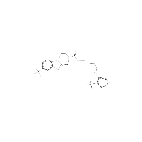 C[C@@H](COCCC(=O)N1CCN2c3ncc(C(F)(F)F)cc3C[C@H]2C1)Nc1cnncc1C(F)(F)F